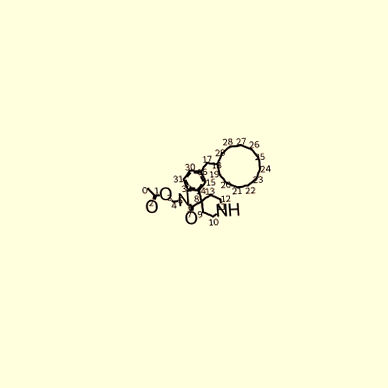 CC(=O)OCN1C(=O)C2(CCNCC2)c2cc(CC3CCCCCCCCCCC3)ccc21